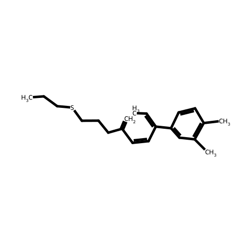 C=C(/C=C\C(=C/C)c1ccc(C)c(C)c1)CCCSCCC